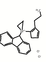 CCCC1=[C]([Hf+2]2([CH]3c4ccccc4-c4ccccc43)[CH2][CH2]2)CC=C1.[Cl-].[Cl-]